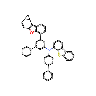 C1=CC2CC2c2c1oc1c(-c3cc(-c4ccccc4)cc(N(c4ccc(-c5ccccc5)cc4)c4cccc5c4sc4ccccc45)c3)cccc21